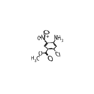 COC(=O)c1cc([N+](=O)[O-])c(N)cc1Cl